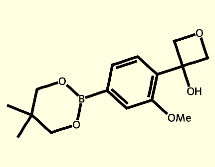 COc1cc(B2OCC(C)(C)CO2)ccc1C1(O)COC1